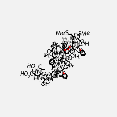 CC[C@H](C)[C@H](NC(=O)CNC(=O)[C@@H](NC(=O)[C@H](CC(C)C)NC(=O)[C@H](CC(C)C)NC(=O)[C@H](CC(C)C)NC(=O)[C@H](CO)NC(=O)[C@@H](NC(=O)[C@H](Cc1ccccc1)NC(=O)[C@H](CO)NC(=O)[C@H](CCSC)NC(=O)[C@@H](N)CCSC)C(C)C)C(C)C)C(=O)N[C@@H](CC(C)C)C(=O)N[C@@H](Cc1ccccc1)C(=O)N[C@@H](Cc1c[nH]c2ccccc12)C(=O)N[C@@H](C)C(=O)N[C@H](C(=O)N[C@@H](CCC(=O)O)C(=O)N[C@@H](C)C(=O)O)[C@@H](C)O